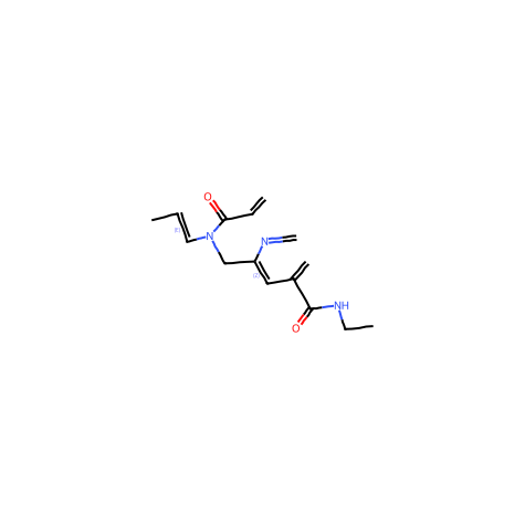 C=CC(=O)N(/C=C/C)C/C(=C/C(=C)C(=O)NCC)N=C